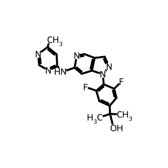 Cc1cc(Nc2cc3c(cn2)cnn3-c2c(F)cc(C(C)(C)O)cc2F)ncn1